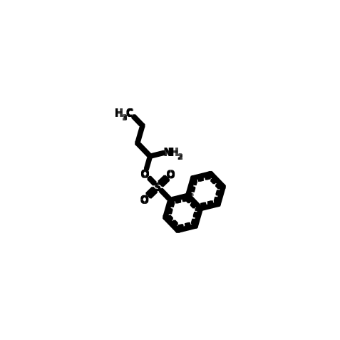 CCCC(N)OS(=O)(=O)c1cccc2ccccc12